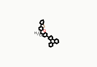 CC1(C)c2ccc(-c3ccc4c5ccccc5c5ccccc5c4c3)cc2Oc2c1ccc1c2sc2ccccc21